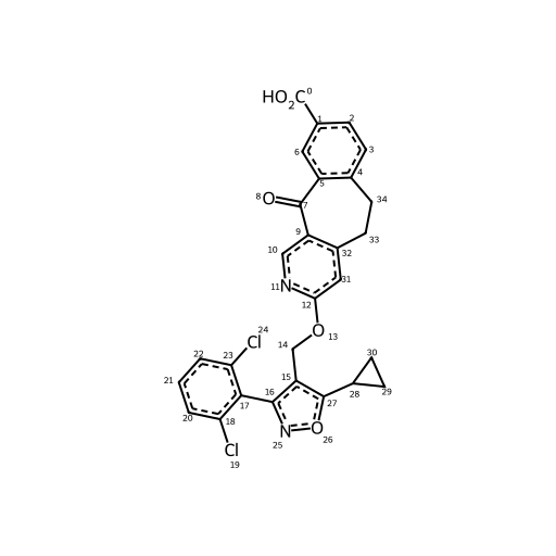 O=C(O)c1ccc2c(c1)C(=O)c1cnc(OCc3c(-c4c(Cl)cccc4Cl)noc3C3CC3)cc1CC2